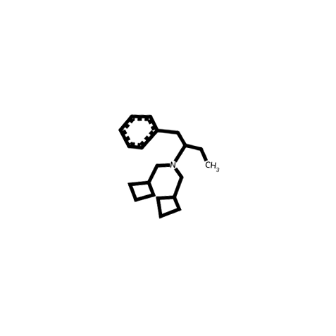 CCC(Cc1ccccc1)N(CC1CCC1)CC1CCC1